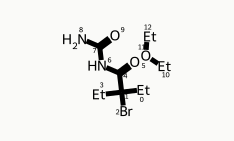 CCC(Br)(CC)C(=O)NC(N)=O.CCOCC